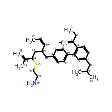 C=C(CC)c1ccc(CC(C)C)cc1-c1ccc(CC(/C=C\C)CC(SCCN)C(=C)C)cc1